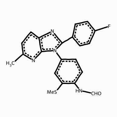 CSc1cc(-n2c(-c3ccc(F)cc3)nc3ccc(C)nc32)ccc1NC=O